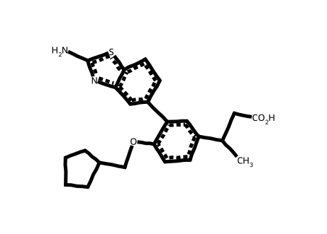 CC(CC(=O)O)c1ccc(OCC2CCCC2)c(-c2ccc3sc(N)nc3c2)c1